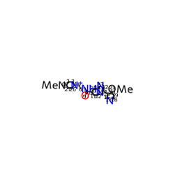 CNc1cc[n+](CCNC(=O)c2ccn3c(-c4cnccc4OC)cnc3c2)cc1